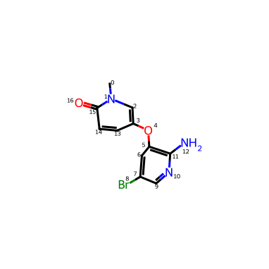 Cn1cc(Oc2cc(Br)cnc2N)ccc1=O